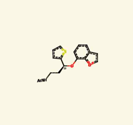 CC(=O)NCC[C@H](Oc1cccc2ccoc12)c1cccs1